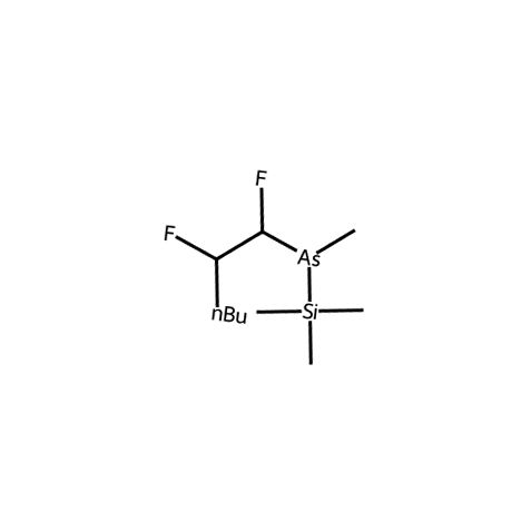 CCCCC(F)C(F)[As](C)[Si](C)(C)C